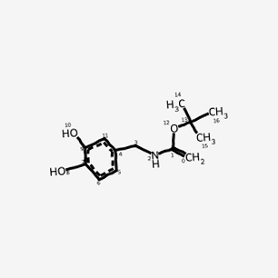 C=C(NCc1ccc(O)c(O)c1)OC(C)(C)C